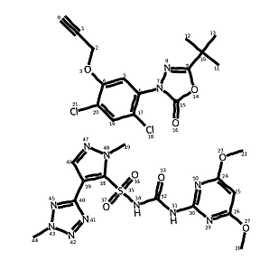 C#CCOc1cc(-n2nc(C(C)(C)C)oc2=O)c(Cl)cc1Cl.COc1cc(OC)nc(NC(=O)NS(=O)(=O)c2c(-c3nnn(C)n3)cnn2C)n1